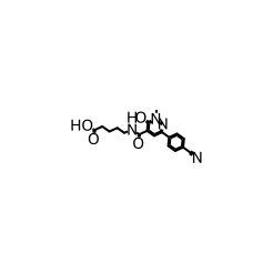 Cn1nc(-c2ccc(C#N)cc2)cc(C(=O)NCCCCC(=O)O)c1=O